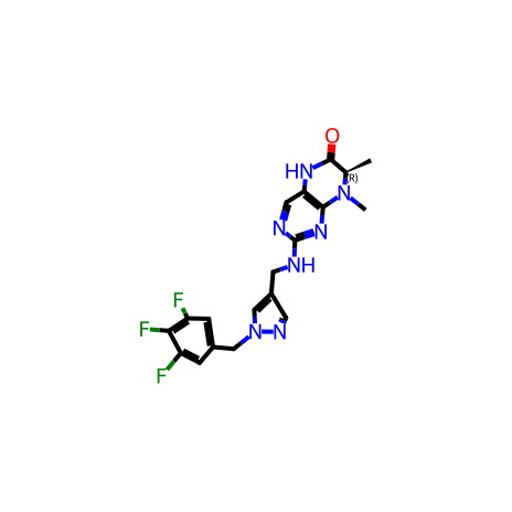 C[C@@H]1C(=O)Nc2cnc(NCc3cnn(Cc4cc(F)c(F)c(F)c4)c3)nc2N1C